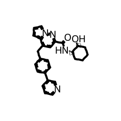 O=C(N[C@H]1CCCC[C@@H]1O)c1cc(Cc2ccc(-c3cccnc3)cc2)c2cccn2n1